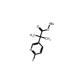 CC(C)(C)OC(=O)C(C)(C)c1ccc(F)nc1